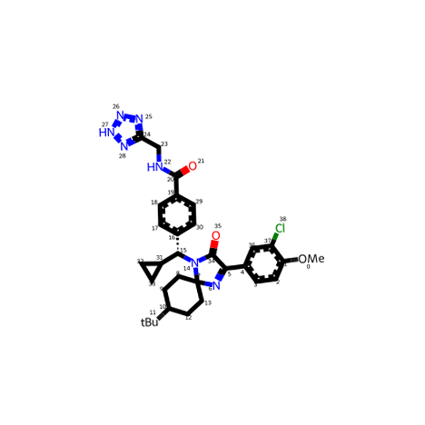 COc1ccc(C2=NC3(CCC(C(C)(C)C)CC3)N([C@@H](c3ccc(C(=O)NCc4nn[nH]n4)cc3)C3CC3)C2=O)cc1Cl